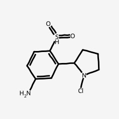 Nc1ccc([SH](=O)=O)c(C2CCCN2Cl)c1